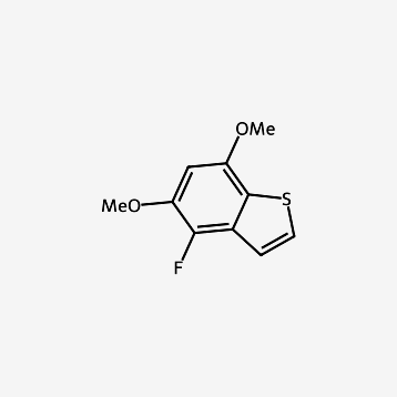 COc1cc(OC)c2sccc2c1F